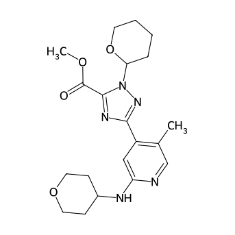 COC(=O)c1nc(-c2cc(NC3CCOCC3)ncc2C)nn1C1CCCCO1